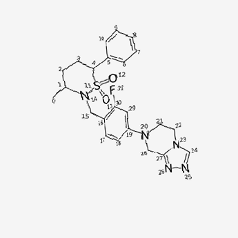 CC1CCC(c2ccccc2)S(=O)(=O)N1Cc1ccc(N2CCn3cnnc3C2)cc1F